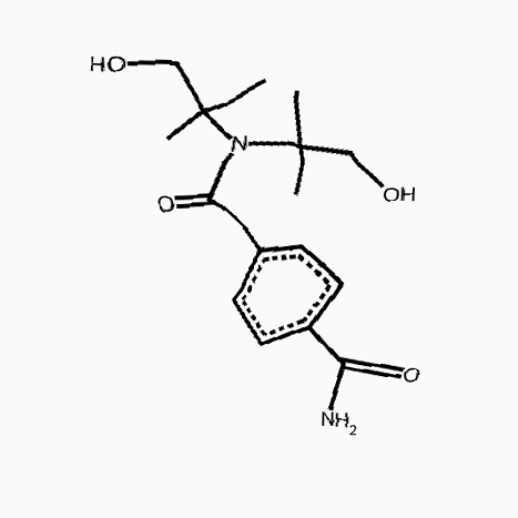 CC(C)(CO)N(C(=O)c1ccc(C(N)=O)cc1)C(C)(C)CO